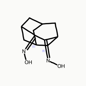 O/N=C1\C(=N\O)C2CC3CC(CC1C3)C2